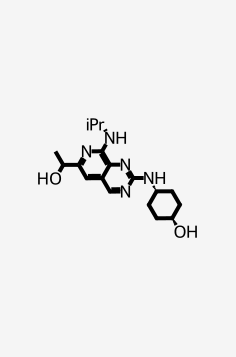 CC(C)Nc1nc(C(C)O)cc2cnc(N[C@H]3CC[C@H](O)CC3)nc12